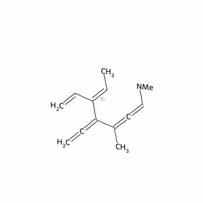 C=C=C(C(C)=C=CNC)/C(C=C)=C/C